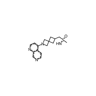 CS(=N)(=O)CC1CC2(C1)CN(c1ccnc3cnccc13)C2